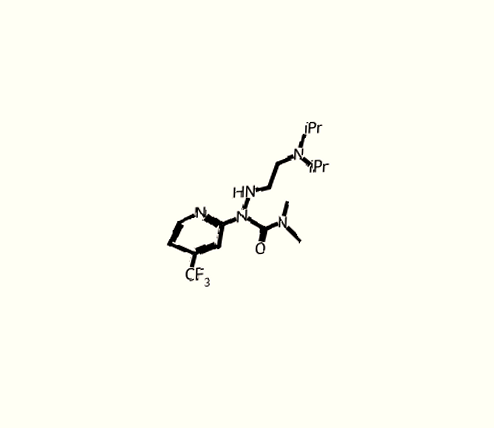 CC(C)N(CCNN(C(=O)N(C)C)c1cc(C(F)(F)F)ccn1)C(C)C